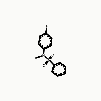 CN(c1ccc(F)cc1)S(=O)(=O)c1ccccc1